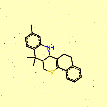 Cc1ccc2c(c1)NC1C3=C(SCC1C2(C)C)c1ccccc1CC3